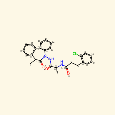 CC1C(=O)N(NC(=O)[C@H](C)NC(=O)CCc2ccccc2Cl)c2ccccc2-c2ccccc21